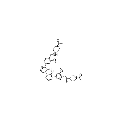 COc1cc(-c2nccc(-c3cccc(-c4cnc(CNC5CCN(C(C)=O)CC5)c(OC)c4)c3Cl)c2Cl)ccc1CNC1CCN(C(C)=O)CC1